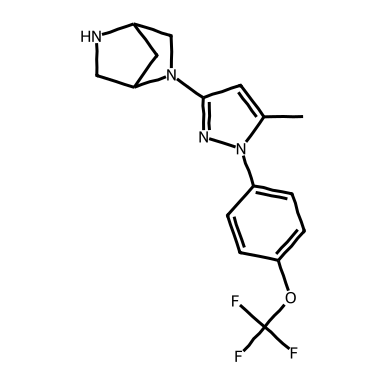 Cc1cc(N2CC3CC2CN3)nn1-c1ccc(OC(F)(F)F)cc1